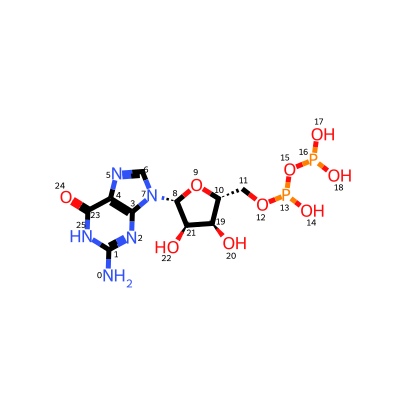 Nc1nc2c(ncn2[C@@H]2O[C@H](COP(O)OP(O)O)[C@@H](O)[C@H]2O)c(=O)[nH]1